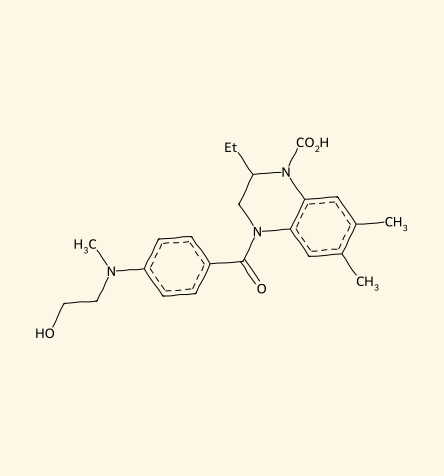 CCC1CN(C(=O)c2ccc(N(C)CCO)cc2)c2cc(C)c(C)cc2N1C(=O)O